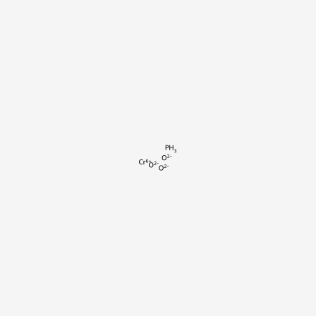 P.[Cr+6].[O-2].[O-2].[O-2]